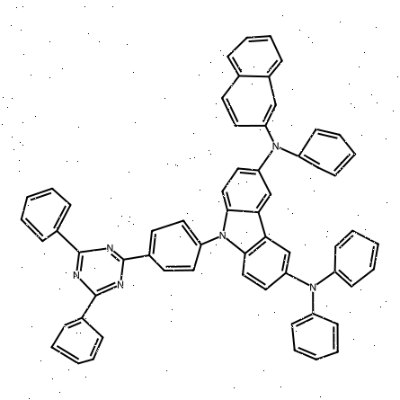 c1ccc(-c2nc(-c3ccccc3)nc(-c3ccc(-n4c5ccc(N(c6ccccc6)c6ccccc6)cc5c5cc(N(c6ccccc6)c6ccc7ccccc7c6)ccc54)cc3)n2)cc1